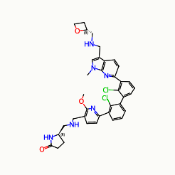 COc1nc(-c2cccc(-c3cccc(-c4ccc5c(CNC[C@H]6CCO6)cn(C)c5n4)c3Cl)c2Cl)ccc1CNC[C@H]1CCC(=O)N1